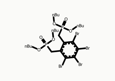 CCCCOP(=O)(Cc1c(Br)c(Br)c(Br)c(Br)c1CP(=O)(OCCCC)OCCCC)OCCCC